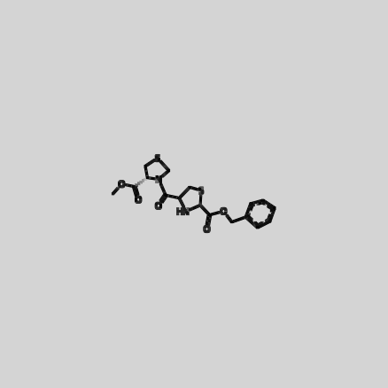 COC(=O)[C@@H]1CSCN1C(=O)C1CSC(C(=O)OCc2ccccc2)N1